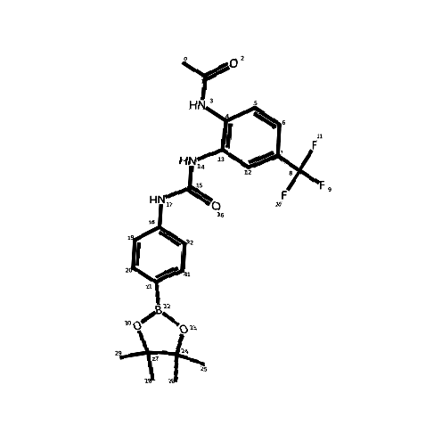 CC(=O)Nc1ccc(C(F)(F)F)cc1NC(=O)Nc1ccc(B2OC(C)(C)C(C)(C)O2)cc1